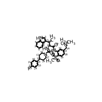 C[C@H](c1c[nH]c2ccccc12)[C@@H](NC(=O)N1CCC(c2ccc(F)cc2)CC1)C(=O)Nc1cc(CN(C)C)ccc1S(C)(=O)=O